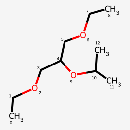 CCOCC(COCC)OC(C)C